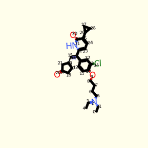 CCN(CC)CCCCOc1ccc(/C(=C\[C@H]2CCC(=O)C2)c2ccc(C3CC3)c(=O)[nH]2)cc1Cl